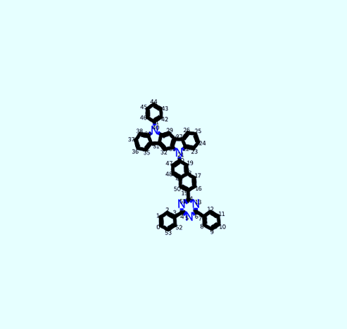 c1ccc(-c2nc(-c3ccccc3)nc(-c3ccc4cc(-n5c6ccccc6c6cc7c(cc65)c5ccccc5n7-c5ccccc5)ccc4c3)n2)cc1